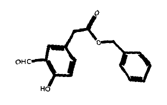 O=Cc1cc(CC(=O)OCc2ccccc2)ccc1O